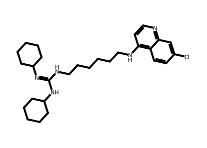 Clc1ccc2c(NCCCCCCN/C(=N\C3CCCCC3)NC3CCCCC3)ccnc2c1